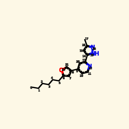 CCCCCCc1cc(-c2ccnc(-c3cc(C)n[nH]3)c2)co1